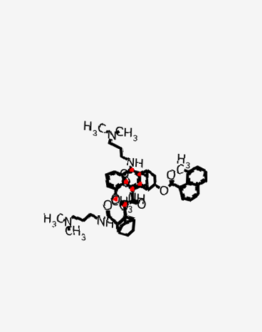 Cc1cccc2cccc(C(=O)OC3CC4CCC3C(C(=O)NC(=O)C3C5CCC(CC5OC(=O)c5cccc6cccc(C)c56)C3C(=O)NCCCN(C)C)C4C(=O)NCCCN(C)C)c12